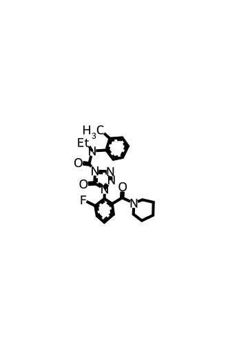 CCN(C(=O)n1nnn(-c2c(F)cccc2C(=O)N2CCCCC2)c1=O)c1ccccc1C